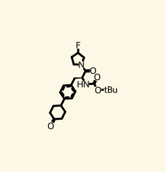 CC(C)(C)OC(=O)N[C@@H](Cc1ccc(C2CCC(=O)CC2)cc1)C(=O)N1CCC(F)C1